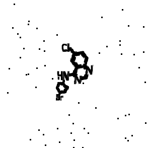 Clc1ccc2ncnc(Nc3ccc(Br)cc3)c2c1